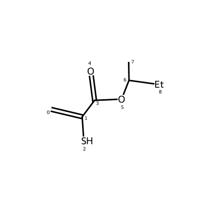 C=C(S)C(=O)OC(C)CC